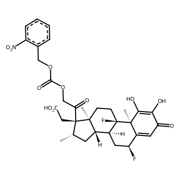 C[C@H]1C[C@H]2[C@@H]3C[C@H](F)C4=CC(=O)C(O)=C(O)[C@]4(C)[C@@]3(F)CC[C@]2(C)[C@@]1(CC(=O)O)C(=O)COC(=O)OCc1ccccc1[N+](=O)[O-]